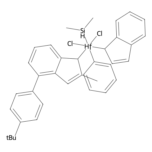 CC1=Cc2c(-c3ccc(C(C)(C)C)cc3)cccc2[CH]1[Hf]([Cl])([Cl])([c]1ccccc1)([CH]1C=Cc2ccccc21)[SiH](C)C